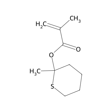 C=C(C)C(=O)OC1(C)CCCCS1